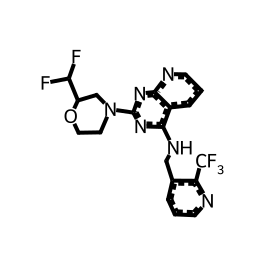 FC(F)C1CN(c2nc(NCc3cccnc3C(F)(F)F)c3cccnc3n2)CCO1